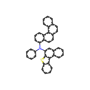 c1ccc(N(c2cccc3c2ccc2ccc4ccccc4c23)c2cc3ccccc3c3c2sc2ccccc23)cc1